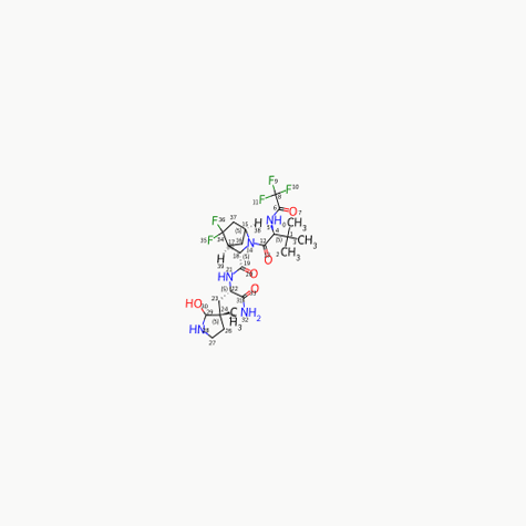 CC(C)(C)[C@H](NC(=O)C(F)(F)F)C(=O)N1[C@H]2C[C@@H]([C@H]1C(=O)N[C@@H](C[C@]1(C)CCNC1O)C(N)=O)C(F)(F)C2